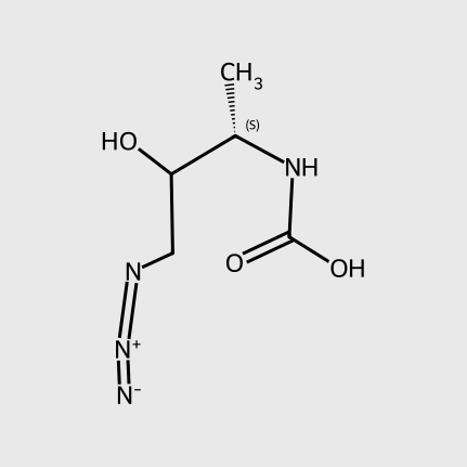 C[C@H](NC(=O)O)C(O)CN=[N+]=[N-]